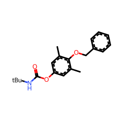 Cc1cc(OC(=O)NC(C)(C)C)cc(C)c1OCc1ccccc1